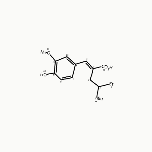 CCCCC(CC)CC(=Cc1ccc(O)c(OC)c1)C(=O)O